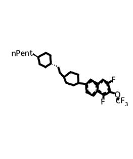 CCCCC[C@H]1CC[C@H](CCC2CCC(c3ccc4c(F)c(OC(F)(F)F)c(F)cc4c3)CC2)CC1